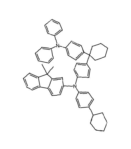 CC1(C)c2ccccc2-c2ccc(N(c3ccc(C4CCCCC4)cc3)c3ccc(C4(c5ccc(N(c6ccccc6)c6ccccc6)cc5)CCCCC4)cc3)cc21